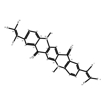 Cn1c2ccc(C(F)=C(F)F)cc2c(=O)c2cc3c(cc21)c(=O)c1cc(C(F)=C(F)F)ccc1n3C